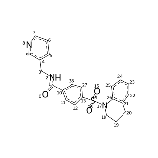 O=C(NCc1cccnc1)c1ccc(S(=O)(=O)N2CCCc3ccccc32)cc1